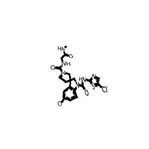 CNC(=O)CNC(=O)N1CCC2(C1)CN(C(=O)Nc1ncc(Cl)s1)c1ccc(Cl)cc12